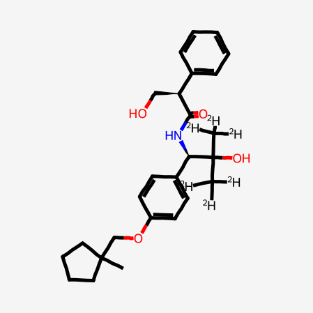 [2H]C([2H])([2H])C(O)([C@H](NC(=O)[C@@H](CO)c1ccccc1)c1ccc(OCC2(C)CCCC2)cc1)C([2H])([2H])[2H]